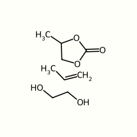 C=CC.CC1COC(=O)O1.OCCO